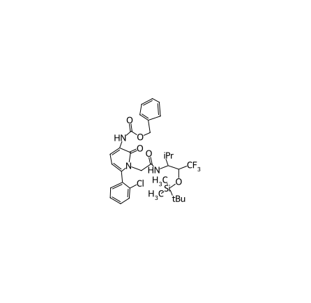 CC(C)C(NC(=O)Cn1c(-c2ccccc2Cl)ccc(NC(=O)OCc2ccccc2)c1=O)C(O[Si](C)(C)C(C)(C)C)C(F)(F)F